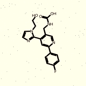 O=C(O)NCc1cnc(-c2ccc(F)cc2)cc1-c1nccn1CCO